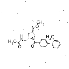 CO/N=C1/C[C@@H](CNC(C)=O)N(C(=O)c2ccc(-c3ccccc3C)cc2)C1